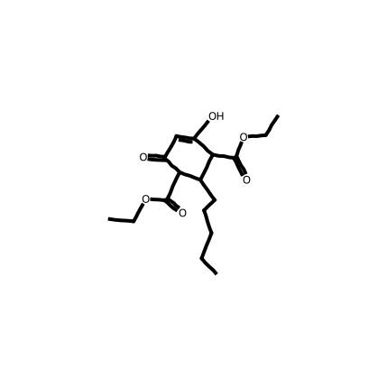 CCCCCC1C(C(=O)OCC)C(=O)C=C(O)C1C(=O)OCC